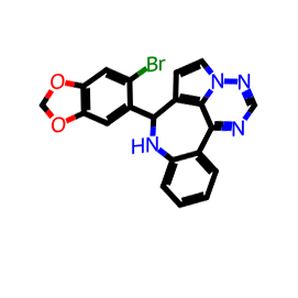 Brc1cc2c(cc1C1Nc3ccccc3-c3ncnn4ccc1c34)OCO2